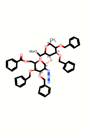 COC(=O)C1O[C@H](C)C(OCc2ccccc2)[C@@H](OCc2ccccc2)[C@@H]1O[C@H]1OC(COC(=O)c2ccccc2)[C@H](OCc2ccccc2)[C@H](OCc2ccccc2)C1N=[N+]=[N-]